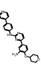 Nc1cc(-c2ccnc(Nc3ccc(-c4ccncc4)cc3)n2)ccc1OC1CCOCC1